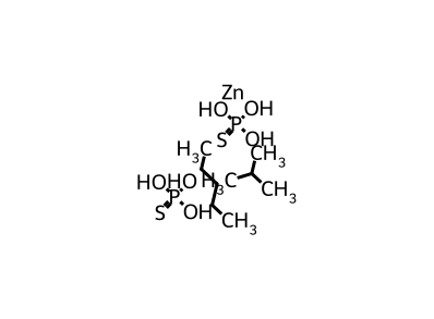 CC(C)C.CCCCC.OP(O)(O)=S.OP(O)(O)=S.[Zn]